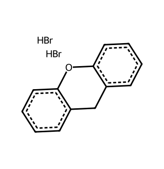 Br.Br.c1ccc2c(c1)Cc1ccccc1O2